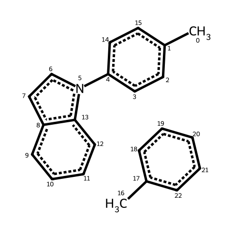 Cc1ccc(-n2ccc3ccccc32)cc1.Cc1ccccc1